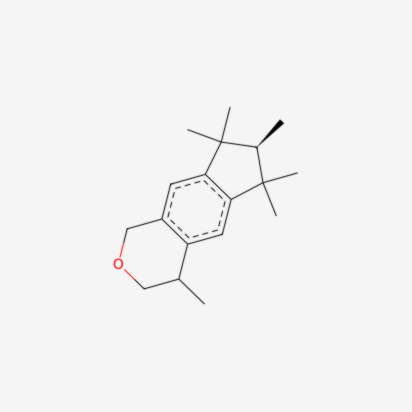 CC1COCc2cc3c(cc21)C(C)(C)[C@H](C)C3(C)C